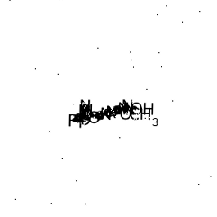 CCC(CO)n1ncn(-c2ccc(N3CCN(c4ccc(OCC5COC(Cn6cncn6)(c6ccc(F)cc6F)O5)cc4)CC3)cc2)c1=O